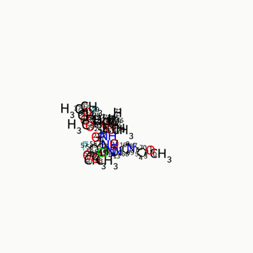 COc1cccc(CN2CCC(N3CCN(C(=O)NC(C(=O)N[C@@H](Cc4ccc(F)c(C(=O)OC(C)(C)C)c4OC)B4O[C@@H]5C[C@@H]6C[C@@H](C6(C)C)[C@]5(C)O4)c4cc(F)c(OC)c(OC)c4Cl)C3=O)CC2)c1